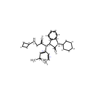 C=C(C)/C=C(\C=C/C)N(C(=O)CNC1CCC1)C1C(=O)N(C2CCCCC2)c2ccccc21